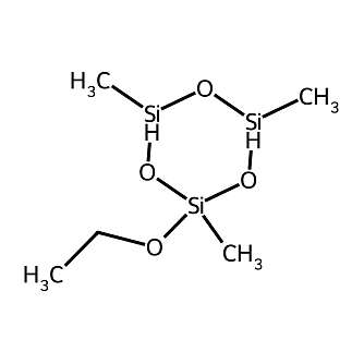 CCO[Si]1(C)O[SiH](C)O[SiH](C)O1